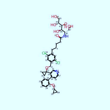 O=C(CCCCc1cc(Cl)c(COC2(c3cnccc3-c3ccccc3OC3CC3)CC2)cc1Cl)N[C@@H](CO)[C@@H](O)[C@H](O)[C@H](O)CO